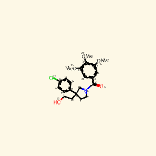 COc1cc(C(=O)N2CCC(CCO)(c3ccc(Cl)cc3)C2)cc(OC)c1OC